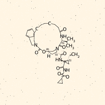 C=C[C@@H]1C[C@]1(NC(=O)[C@@H]1C[C@@H]2CN1C(=O)[C@H](C(C)C)NC(=O)CCCCCCc1cccc3c1CN(C3)C(=O)O2)C(=O)NS(=O)(=O)C1CC1